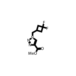 COC(=O)c1cn(CC2CC(F)(F)C2)nn1